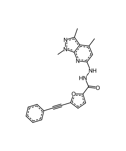 Cc1cc(NNC(=O)c2ccc(C#Cc3ccccc3)o2)nc2c1c(C)nn2C